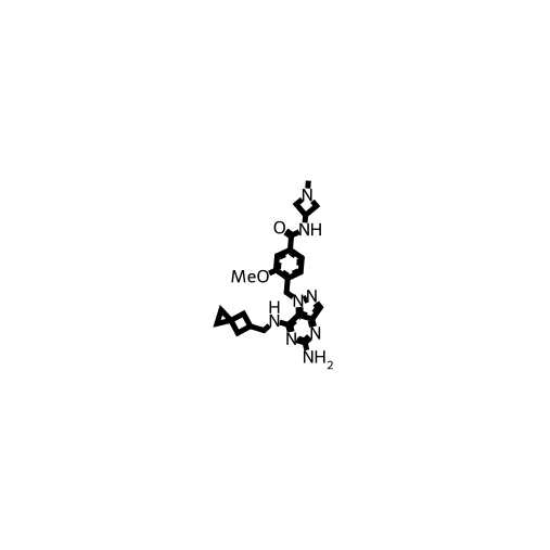 COc1cc(C(=O)NC2CN(C)C2)ccc1Cn1ncc2nc(N)nc(NCC3CC4(CC4)C3)c21